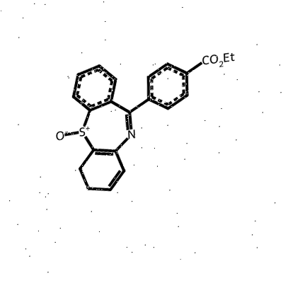 CCOC(=O)c1ccc(C2=NC3=C(CCC=C3)[S+]([O-])c3ccccc32)cc1